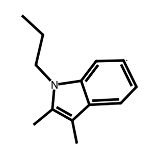 CCCn1c(C)c(C)c2cc[c]cc21